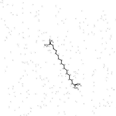 C=C(C)CCCCCCCCCCCCCCCCC(=C)C